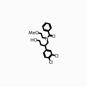 COCCN(CC(CCO)c1ccc(Cl)c(Cl)c1)C(=O)c1ccccc1